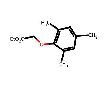 CCOC(=O)COc1c(C)cc(C)cc1C